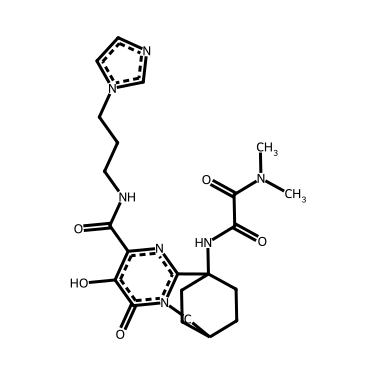 CN(C)C(=O)C(=O)NC12CCC(CC1)Cn1c2nc(C(=O)NCCCn2ccnc2)c(O)c1=O